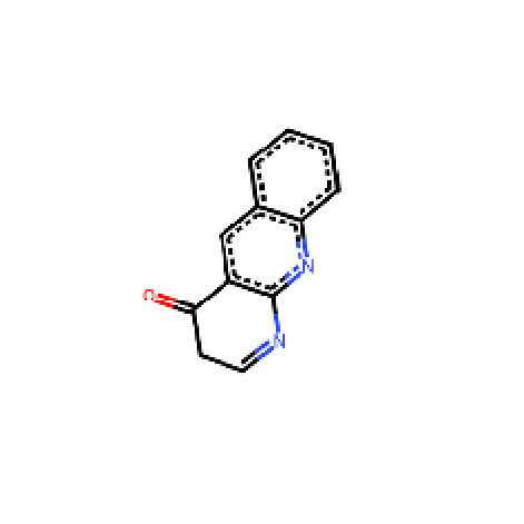 O=C1CC=Nc2nc3ccccc3cc21